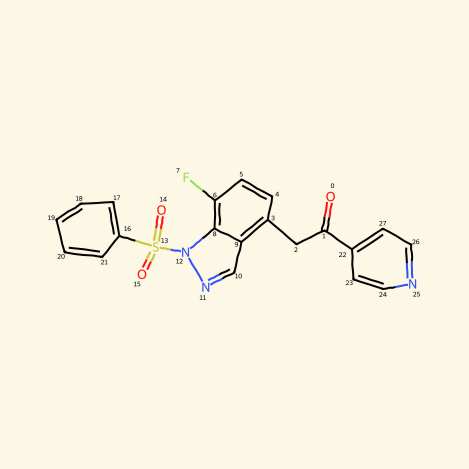 O=C(Cc1ccc(F)c2c1cnn2S(=O)(=O)c1ccccc1)c1ccncc1